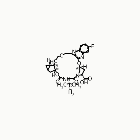 CC(C)(C)[C@@H]1NC(=O)O[C@@H]2CC3C[C@@H]3[C@H]2CCCCCc2nc3ccc(F)cc3nc2O[C@@H]2C[C@@H](C(=O)O)N(C2)C1=O